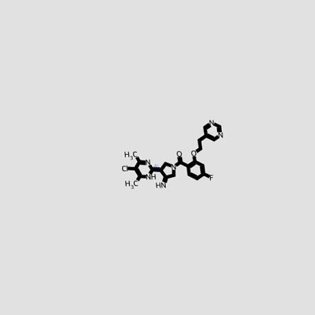 CC1=N/C(=C2\CN(C(=O)c3ccc(F)cc3OCCc3cncnc3)CC2=N)NC(C)=C1Cl